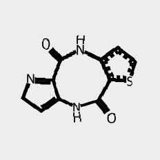 O=C1Nc2ccsc2C(=O)NC2=CCN=C12